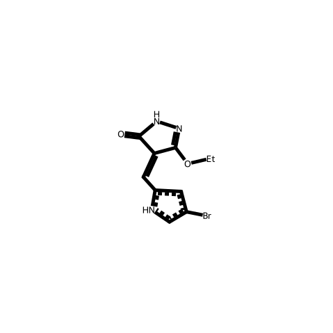 CCOC1=NNC(=O)/C1=C/c1cc(Br)c[nH]1